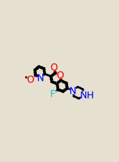 COc1cccc(-c2cc3c(F)cc(N4CCNCC4)cc3oc2=O)n1